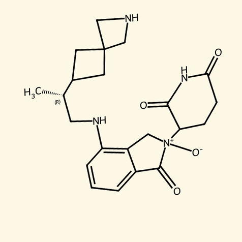 C[C@@H](CNc1cccc2c1C[N+]([O-])(C1CCC(=O)NC1=O)C2=O)C1CC2(CNC2)C1